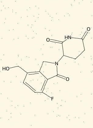 O=C1CCC(N2Cc3c(CO)ccc(F)c3C2=O)C(=O)N1